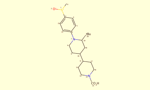 C[S+]([O-])c1ccc(N2CCC(C3CCN(C(=O)O)CC3)CC2C(C)(C)C)cc1